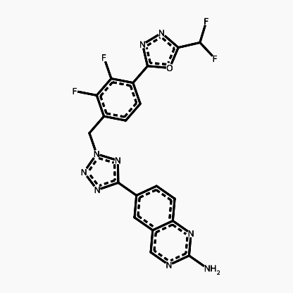 Nc1ncc2cc(-c3nnn(Cc4ccc(-c5nnc(C(F)F)o5)c(F)c4F)n3)ccc2n1